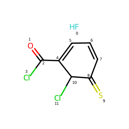 F.O=C(Cl)C1=CC=CC(=S)C1Cl